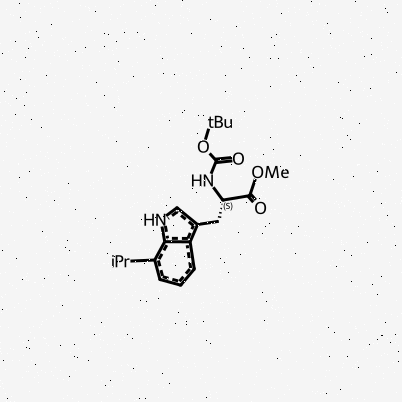 COC(=O)[C@H](Cc1c[nH]c2c(C(C)C)cccc12)NC(=O)OC(C)(C)C